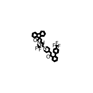 O=C(CC1CCN(CCCCC2(C(=O)NCC(F)(F)F)c3ccccc3-c3ccccc32)CC1)c1ccccc1-c1ccc(C(F)(F)F)cc1